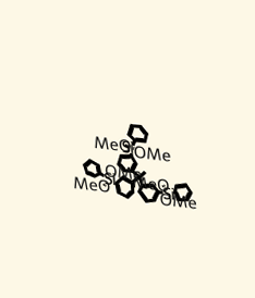 CO[Si](OC)(c1ccccc1)c1cccc(C(C)(c2cccc([Si](OC)(OC)c3ccccc3)c2)c2cccc([Si](OC)(OC)c3ccccc3)c2)c1